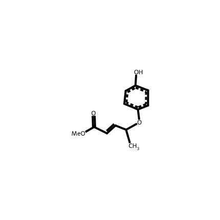 COC(=O)C=CC(C)Oc1ccc(O)cc1